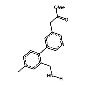 CCNCc1cc(C)ccc1-c1cncc(CC(=O)OC)c1